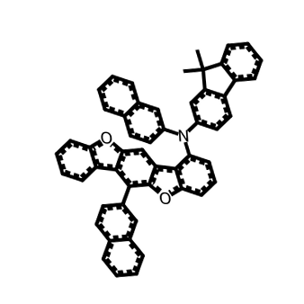 CC1(C)c2ccccc2-c2ccc(N(c3ccc4ccccc4c3)c3cccc4oc5c(-c6ccc7ccccc7c6)c6c(cc5c34)oc3ccccc36)cc21